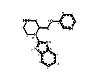 c1cncc(OCC2CNCCN2c2nc3ccccc3s2)c1